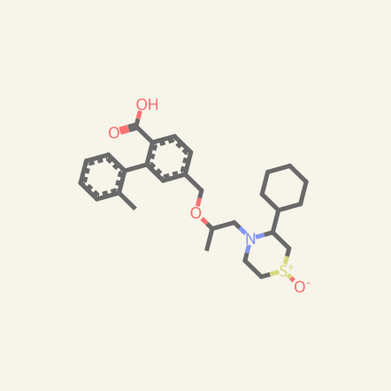 Cc1ccccc1-c1cc(COC(C)CN2CC[S+]([O-])CC2C2CCCCC2)ccc1C(=O)O